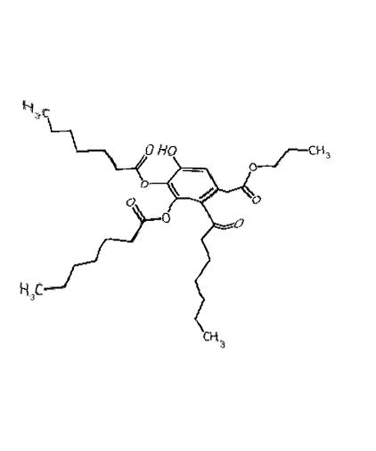 CCCCCCC(=O)Oc1c(O)cc(C(=O)OCCC)c(C(=O)CCCCCC)c1OC(=O)CCCCCC